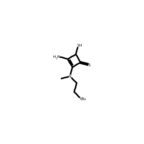 CN(CCC(C)(C)C)C1=C(N)C(S)C1=S